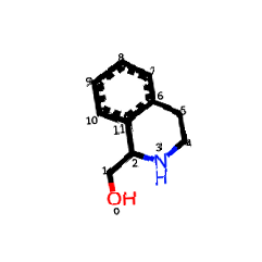 OCC1NCCc2c[c]ccc21